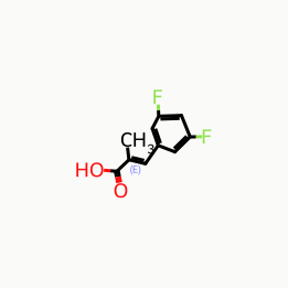 C/C(=C\c1cc(F)cc(F)c1)C(=O)O